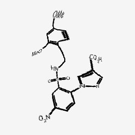 COc1ccc(CNS(=O)(=O)c2cc([N+](=O)[O-])ccc2-n2cc(C(=O)O)cn2)c(OC)c1